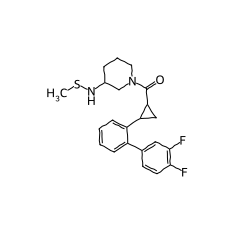 CSNC1CCCN(C(=O)C2CC2c2ccccc2-c2ccc(F)c(F)c2)C1